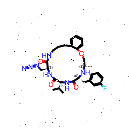 CC(C)[C@H]1NC(=O)[C@@H](Cc2cccc(F)c2)N[C@@H](C)COc2ccccc2CCCNC(=O)[C@H](CN=[N+]=[N-])NC1=O